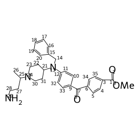 COC(=O)c1ccc(C(=O)c2ccc(N(Cc3ccccc3)C3CCN(C(C)CCN)CC3)cc2)cc1